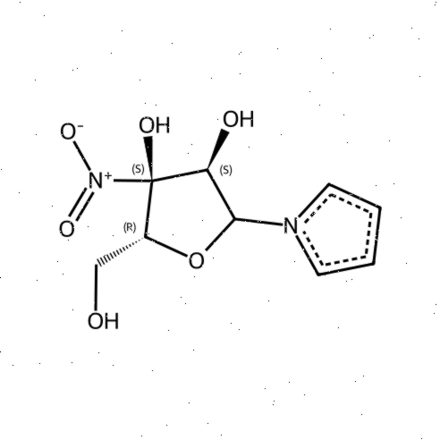 O=[N+]([O-])[C@@]1(O)[C@@H](CO)OC(n2cccc2)[C@@H]1O